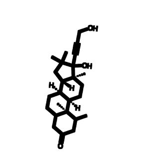 CC1CC(=O)CC2CC[C@@H]3[C@@H](CC[C@@]4(C)[C@H]3CC(C)(C)C4(O)C#CCO)[C@@]12C